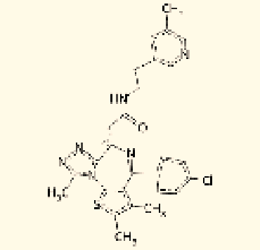 Cc1cncc(CCNC(=O)C[C@@H]2N=C(c3ccc(Cl)cc3)c3c(sc(C)c3C)-n3c(C)nnc32)c1